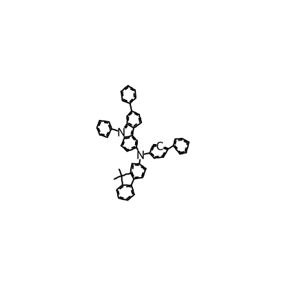 CC1(C)c2ccccc2-c2ccc(N(c3ccc(-c4ccccc4)cc3)c3ccc4c(c3)c3ccc(-c5ccccc5)cc3n4-c3ccccc3)cc21